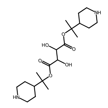 CC(C)(OC(=O)C(O)C(O)C(=O)OC(C)(C)C1CCNCC1)C1CCNCC1